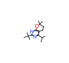 CC(C)c1nc(C(C)(C)C)nc2c1CCC(C)(C)O2